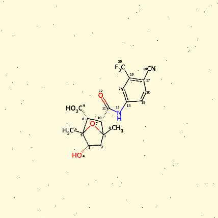 CC12C[C@H](O)C(C)(O1)[C@H](C(=O)O)[C@@H]2C(=O)Nc1ccc(C#N)c(C(F)(F)F)c1